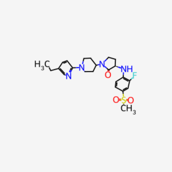 CCc1ccc(N2CCC(N3CC[C@@H](Nc4ccc(S(C)(=O)=O)cc4F)C3=O)CC2)nc1